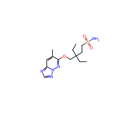 CCC(CC)(CCS(N)(=O)=O)COc1nn2ncnc2cc1C